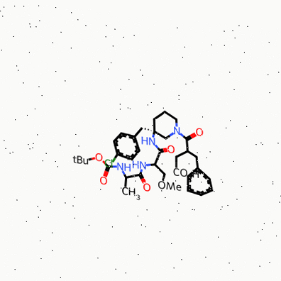 COCC(NC(=O)C(C)NC(=O)OC(C)(C)C)C(=O)N[C@@]1(Cc2ccc(Cl)cc2)CCCN(C(=O)C(CC(=O)O)Cc2ccccc2)C1